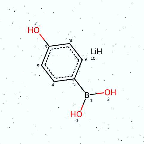 OB(O)c1ccc(O)cc1.[LiH]